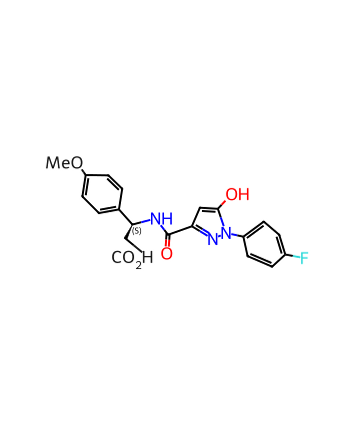 COc1ccc([C@H](CC(=O)O)NC(=O)c2cc(O)n(-c3ccc(F)cc3)n2)cc1